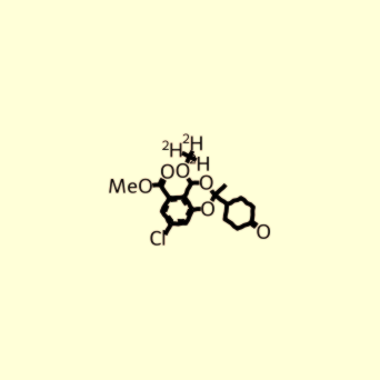 [2H]C([2H])([2H])OC1OC(C)(C2CCC(=O)CC2)Oc2cc(Cl)cc(C(=O)OC)c21